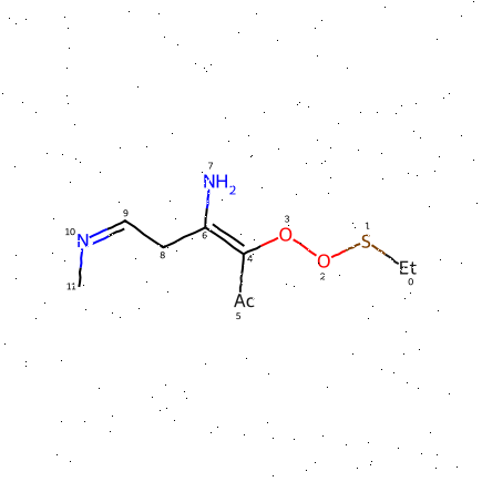 CCSOO/C(C(C)=O)=C(\N)C/C=N\C